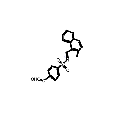 Cc1ccc2ccccc2c1/C=N/S(=O)(=O)c1ccc(OC=O)cc1